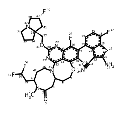 CN1C(=O)CC2CCOc3c(Cl)c(-c4ccc(F)c5sc(N)c(C#N)c45)c(F)c4nc(OC[C@@]56CCCN5C[C@H](F)C6)nc(c34)N2CCC1CC(F)F